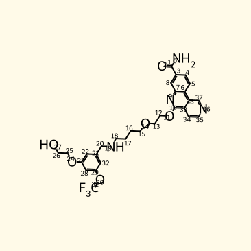 NC(=O)c1ccc2c(c1)nc(OCCOCCCCNCc1cc(OCCO)cc(OC(F)(F)F)c1)c1ccncc12